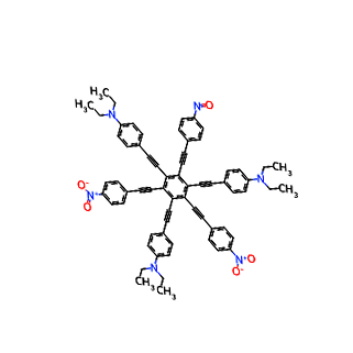 CCN(CC)c1ccc(C#Cc2c(C#Cc3ccc(N=O)cc3)c(C#Cc3ccc(N(CC)CC)cc3)c(C#Cc3ccc([N+](=O)[O-])cc3)c(C#Cc3ccc(N(CC)CC)cc3)c2C#Cc2ccc([N+](=O)[O-])cc2)cc1